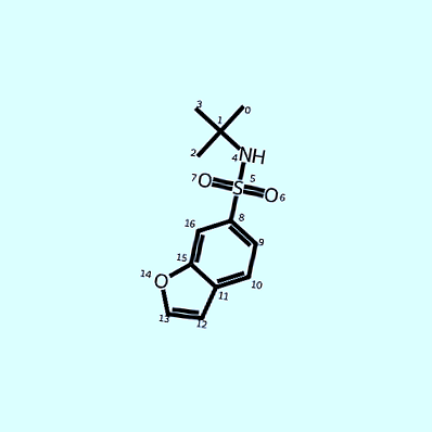 CC(C)(C)NS(=O)(=O)c1ccc2ccoc2c1